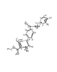 CCOC(=O)c1[nH]c(C)c(-c2ccc(C(=O)NCc3ccccc3)cc2)c1C